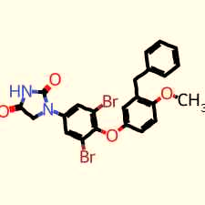 COc1ccc(Oc2c(Br)cc(N3CC(=O)NC3=O)cc2Br)cc1Cc1ccccc1